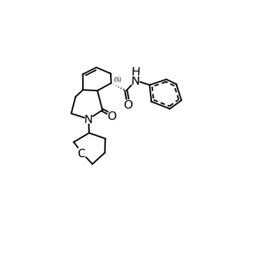 O=C(Nc1ccccc1)[C@H]1CC=CC2CCN(C3CCCCC3)C(=O)C21